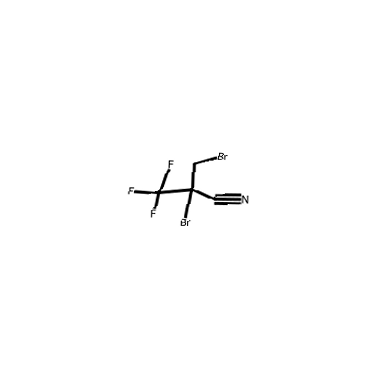 N#CC(Br)(CBr)C(F)(F)F